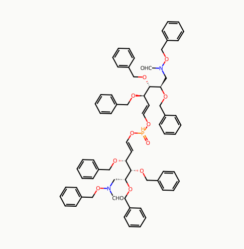 O=CN(C[C@@H](OCc1ccccc1)[C@@H](OCc1ccccc1)[C@@H](/C=C/O[PH](=O)O/C=C/[C@@H](OCc1ccccc1)[C@H](OCc1ccccc1)[C@@H](CN(C=O)OCc1ccccc1)OCc1ccccc1)OCc1ccccc1)OCc1ccccc1